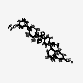 O=S(=O)(c1ccc(Nc2ccnc3cc(C(F)(F)F)ccc23)cc1)N1CCN(c2nncc(C(F)(F)F)n2)CC1